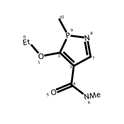 CCOc1c(C(=O)NC)cnp1C